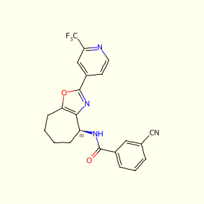 N#Cc1cccc(C(=O)N[C@H]2CCCCc3oc(-c4ccnc(C(F)(F)F)c4)nc32)c1